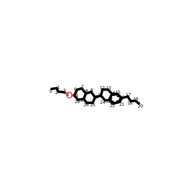 CCCCOC1CCC2CC(C3CCc4cc(CCCC)ccc4C3)CCC2C1